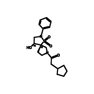 O=C(CC1CCCC1)N1CC[C@@]2(C1)[C@@H](O)CN(c1ccccc1)S2(=O)=O